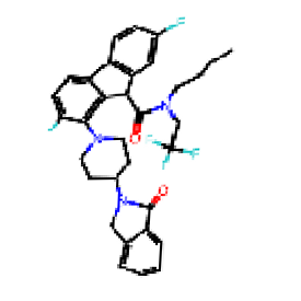 CCCCN(CC(F)(F)F)C(=O)C1c2cc(F)ccc2-c2ccc(F)c(N3CCC(N4Cc5ccccc5C4=O)CC3)c21